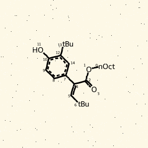 CCCCCCCCOC(=O)C(=CC(C)(C)C)c1ccc(O)c(C(C)(C)C)c1